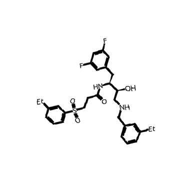 CCc1cccc(CNC[C@H](O)[C@H](Cc2cc(F)cc(F)c2)NC(=O)CCS(=O)(=O)c2cccc(CC)c2)c1